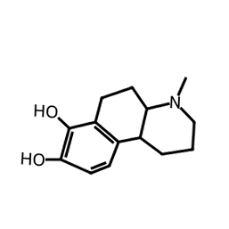 CN1CCCC2c3ccc(O)c(O)c3CCC21